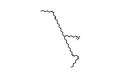 CCCCC/C=C\CC=CCCCCCCCCC(CCCCCCCC/C=C\C/C=C\CCCCC)CCCCCN(C)C